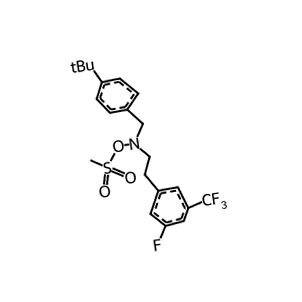 CC(C)(C)c1ccc(CN(CCc2cc(F)cc(C(F)(F)F)c2)OS(C)(=O)=O)cc1